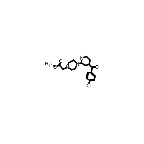 COC(=O)CN1CCN(C2CC(C(=O)c3ccc(Cl)cc3)CC[N]2)CC1